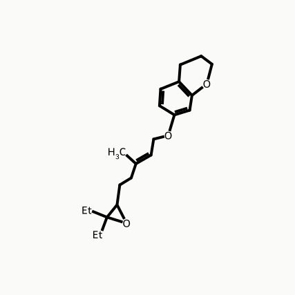 CCC1(CC)OC1CC/C(C)=C/COc1ccc2c(c1)OCCC2